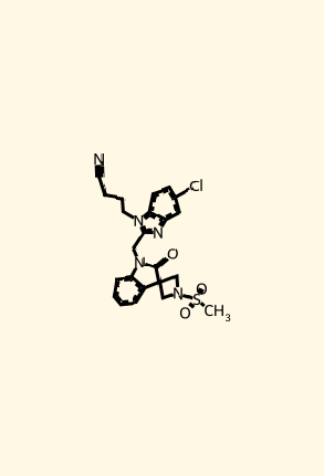 CS(=O)(=O)N1CC2(C1)C(=O)N(Cc1nc3cc(Cl)ccc3n1CCCC#N)c1ccccc12